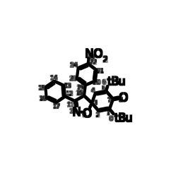 CC(C)(C)C1=CC2(C=C(C(C)(C)C)C1=O)ON=C(c1ccccc1)C2c1ccc([N+](=O)[O-])cc1